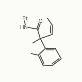 C/C=C\C(C)(C(=O)NCC)c1ccccc1C